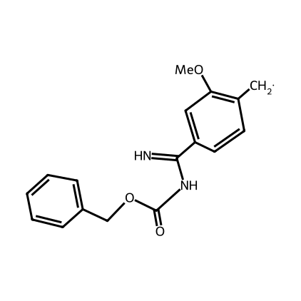 [CH2]c1ccc(C(=N)NC(=O)OCc2ccccc2)cc1OC